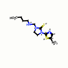 O=C(O)CCCNCN1CCN(c2ncc([N+](=O)[O-])s2)C1=S